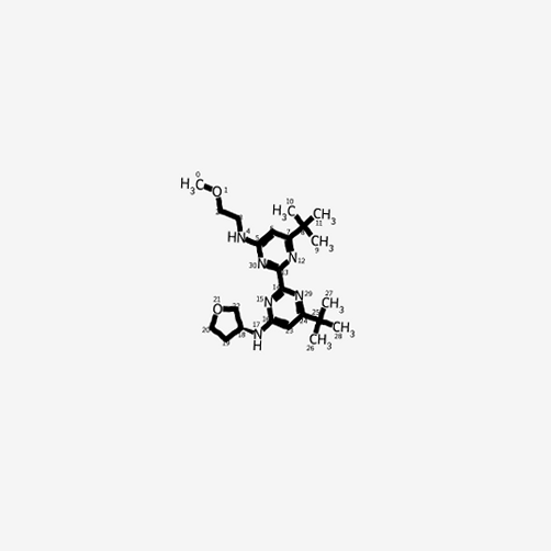 COCCNc1cc(C(C)(C)C)nc(-c2nc(N[C@H]3CCOC3)cc(C(C)(C)C)n2)n1